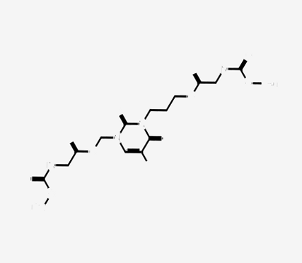 CC(C)(C)OC(=O)NCC(=O)OCCCn1c(=O)c(F)cn(COC(=O)CNC(=O)OC(C)(C)C)c1=O